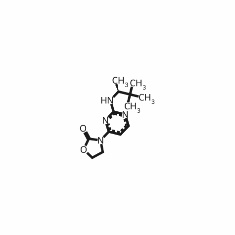 C[C@H](Nc1nccc(N2CCOC2=O)n1)C(C)(C)C